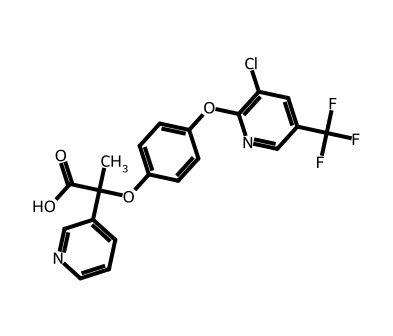 CC(Oc1ccc(Oc2ncc(C(F)(F)F)cc2Cl)cc1)(C(=O)O)c1cccnc1